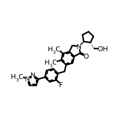 Cc1c(Cc2ccc(-c3ccn(C)n3)cc2F)cc2c(c1C)CN([C@H]1CCC[C@@H]1CO)C2=O